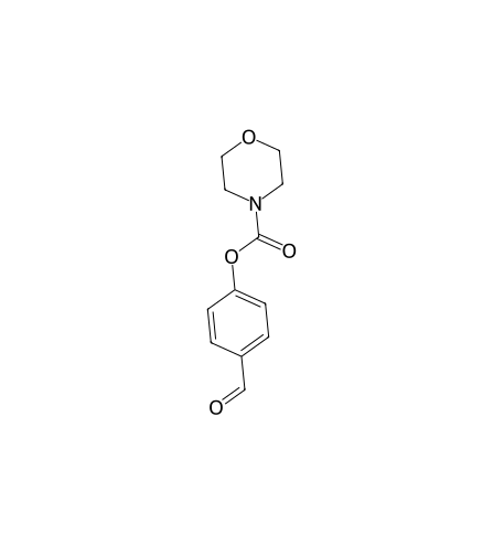 O=Cc1ccc(OC(=O)N2CCOCC2)cc1